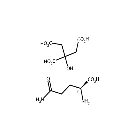 NC(=O)CC[C@H](N)C(=O)O.O=C(O)CC(O)(CC(=O)O)C(=O)O